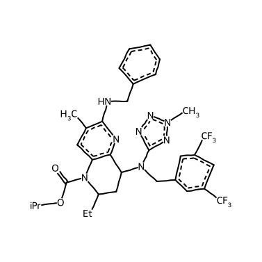 CCC1CC(N(Cc2cc(C(F)(F)F)cc(C(F)(F)F)c2)c2nnn(C)n2)c2nc(NCc3ccccc3)c(C)cc2N1C(=O)OC(C)C